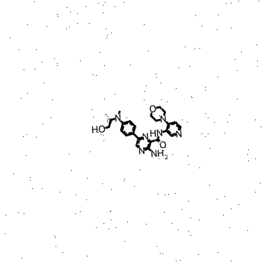 C[C@@H](CO)N(C)c1ccc(-c2cnc(N)c(C(=O)Nc3cnccc3N3CCOCC3)n2)cc1